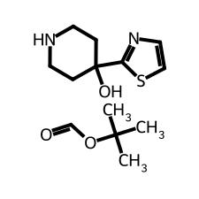 CC(C)(C)OC=O.OC1(c2nccs2)CCNCC1